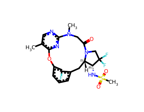 Cc1cnc2nc1Oc1cccc(c1F)C[C@H]1[C@@H](NS(C)(=O)=O)C(F)(F)CN1C(=O)CN2C